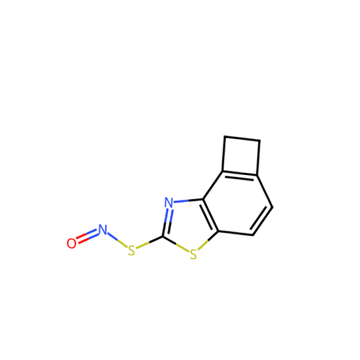 O=NSc1nc2c3c(ccc2s1)CC3